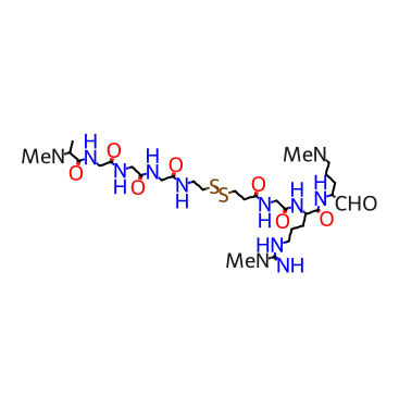 CNCCCC(C=O)NC(=O)C(CCCNC(=N)NC)NC(=O)CNC(=O)CCSSCCNC(=O)CNC(=O)CNC(=O)CNC(=O)C(C)NC